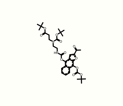 CC(=O)c1cc2c(OC(=O)NCCN(CCC(=O)OC(C)(C)C)C(=O)OC(C)(C)C)c3ccccc3c(OC(=O)OC(C)(C)C)c2o1